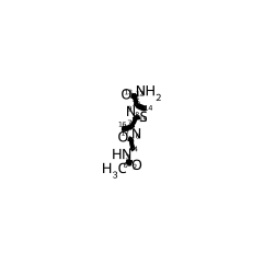 CC(=O)NCc1nc(-c2nc(C(N)=O)cs2)co1